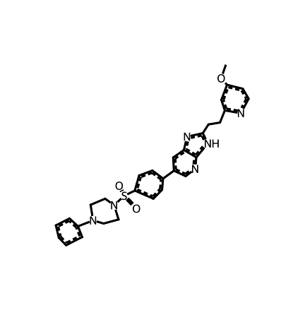 COc1ccnc(CCc2nc3cc(-c4ccc(S(=O)(=O)N5CCN(c6ccccc6)CC5)cc4)cnc3[nH]2)c1